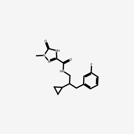 Cn1nc(C(=O)NCC(Cc2cccc(F)c2)C2CC2)[nH]c1=O